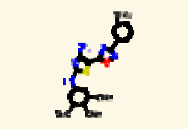 COc1cc(Nc2nc(N)c(-c3nc(-c4cccc(NC(C)=O)c4)no3)s2)cc(OC)c1OC